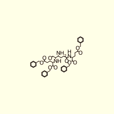 NC(CCC(=O)NC(CCC(=O)OCc1ccccc1)C(=O)OCc1ccccc1)C(C=O)NC(CCC(=O)OCc1ccccc1)C(=O)OCc1ccccc1